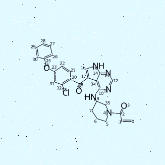 C=CC(=O)N1CCCC(Nc2ncnc3[nH]cc(C(=O)c4ccc(Oc5ccccc5)cc4Cl)c23)C1